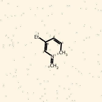 C=N/C=C(\C=C/C)CC